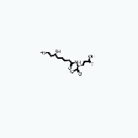 O=C(O)CC[C@H](NC(=O)CCCCC(S)CCS)C(=O)O